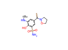 CCCCNc1cc(C(=S)N2CCCO2)cc(S(N)(=O)=O)c1O